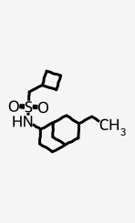 CCC1CC2CCC(NS(=O)(=O)CC3CCC3)C(C1)C2